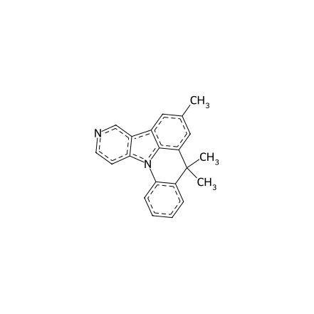 Cc1cc2c3c(c1)c1cnccc1n3-c1ccccc1C2(C)C